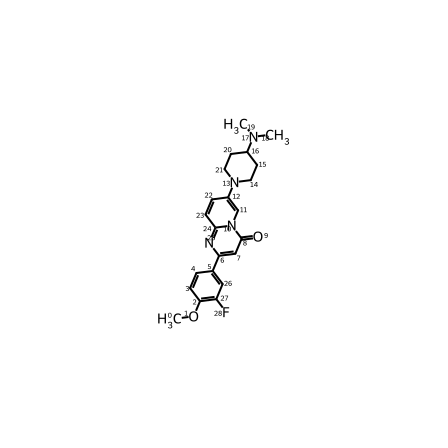 COc1ccc(-c2cc(=O)n3cc(N4CCC(N(C)C)CC4)ccc3n2)cc1F